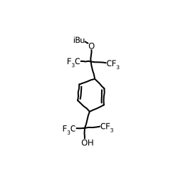 CCC(C)OC(C1C=CC(C(O)(C(F)(F)F)C(F)(F)F)C=C1)(C(F)(F)F)C(F)(F)F